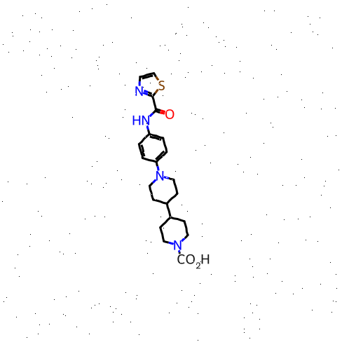 O=C(Nc1ccc(N2CCC(C3CCN(C(=O)O)CC3)CC2)cc1)c1nccs1